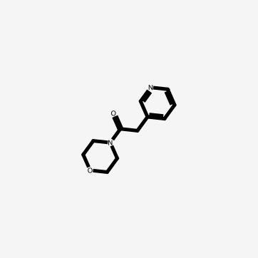 O=C(Cc1cc[c]nc1)N1CCOCC1